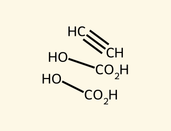 C#C.O=C(O)O.O=C(O)O